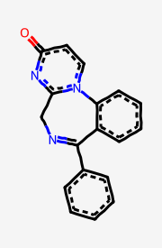 O=c1ccn2c(n1)CN=C(c1ccccc1)c1ccccc1-2